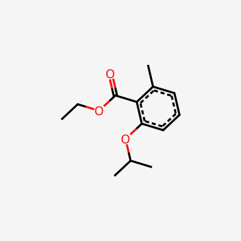 CCOC(=O)c1c(C)cccc1OC(C)C